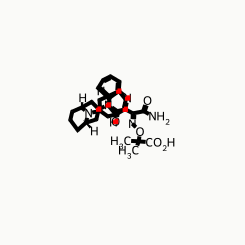 CC(C)(O/N=C(\C(N)=O)c1nc2ccccc2n(C2C[C@H]3CCC[C@@H](C2)N3C2C[C@H]3CCC[C@@H](C2)C3)c1=O)C(=O)O